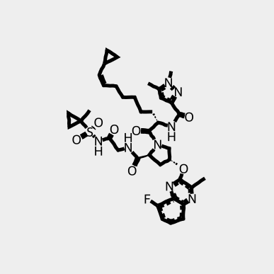 Cc1nc2cccc(F)c2nc1O[C@@H]1C[C@@H](C(=O)NCC(=O)NS(=O)(=O)C2(C)CC2)N(C(=O)[C@H](CCCCC/C=C\C2CC2)NC(=O)c2cc(C)n(C)n2)C1